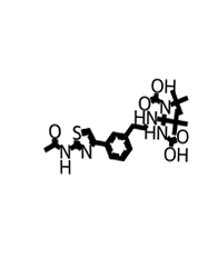 CC(=O)Nc1nc(-c2cccc(CCNC(NC(=O)O)(N(C(=O)O)C(C)(C)C)C(C)(C)C)c2)cs1